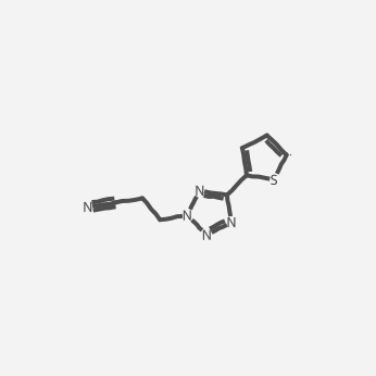 N#CCCn1nnc(-c2cc[c]s2)n1